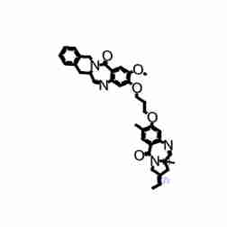 C/C=C1\CN2C(=O)c3cc(C)c(OCCCOc4cc5c(cc4OC)C(=O)N4Cc6ccccc6CC4C=N5)cc3N=C[C@]2(C)C1